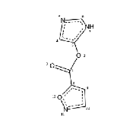 O=C(Oc1cnc[nH]1)c1ccno1